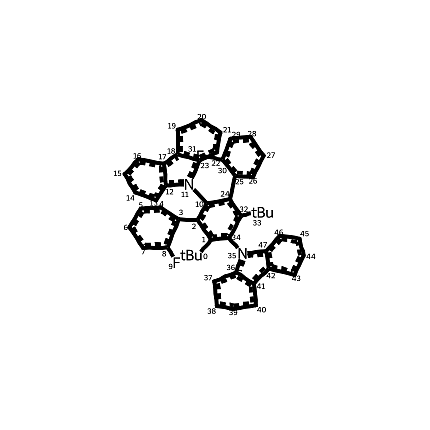 CC(C)(C)c1c(-c2ccccc2F)c(-n2c3ccccc3c3ccccc32)c(-c2ccccc2F)c(C(C)(C)C)c1-n1c2ccccc2c2ccccc21